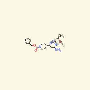 C=C(Br)/C=N\N(C)/C(N)=C\C(=N/C)C1CCN(C(=O)OCc2ccccc2)CC1